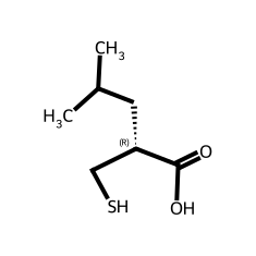 CC(C)C[C@@H](CS)C(=O)O